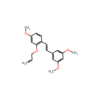 C=CCOc1cc(OC)ccc1C=Cc1cc(OC)cc(OC)c1